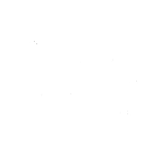 CC(=O)Oc1c(C)cc(Oc2c(Cl)cc([N+](=O)[O-])c(Cl)c2Cl)cc1C(C)C